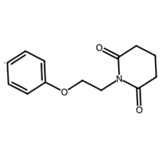 O=C1CCCC(=O)N1CCOc1cc[c]cc1